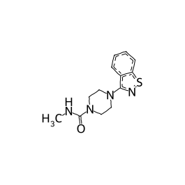 CNC(=O)N1CCN(c2nsc3ccccc23)CC1